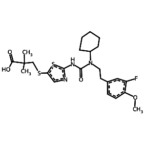 COc1ccc(CCN(C(=O)Nc2ncc(SCC(C)(C)C(=O)O)s2)C2CCCCC2)cc1F